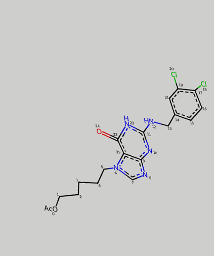 CC(=O)OCCCCCn1cnc2nc(NCc3ccc(Cl)c(Cl)c3)[nH]c(=O)c21